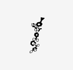 CC(COc1ccc(C(=O)O[C@H]2CCCN(C(=O)[C@H]3COC(=O)C3)C2)cc1)N(C(=O)c1cscn1)c1ccc(C2CC2)cc1